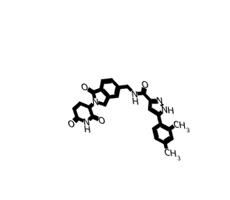 Cc1ccc(-c2cc(C(=O)NCc3ccc4c(c3)CN(C3CCC(=O)NC3=O)C4=O)n[nH]2)c(C)c1